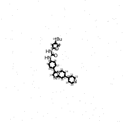 CC(C)(C)c1cc(NC(=O)Nc2ccc(-c3cnc4cc(-c5ccncc5)ccn34)cc2)on1